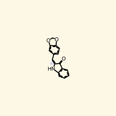 O=C1/C(=C\c2ccc3c(c2)OCO3)Nc2ccccc21